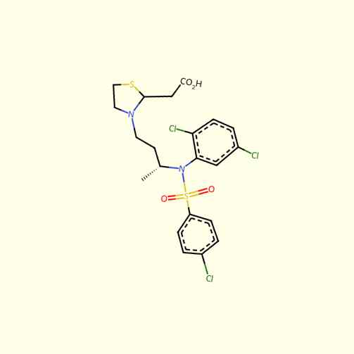 C[C@H](CCN1CCSC1CC(=O)O)N(c1cc(Cl)ccc1Cl)S(=O)(=O)c1ccc(Cl)cc1